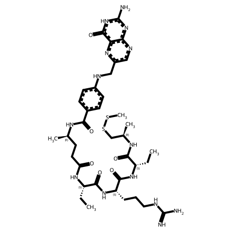 CC[C@H](NC(=O)CC[C@@H](C)NC(=O)c1ccc(NCc2cnc3nc(N)[nH]c(=O)c3n2)cc1)C(=O)N[C@@H](CCCNC(=N)N)C(=O)N[C@@H](CC)C(=O)N[C@H](C)CSSC